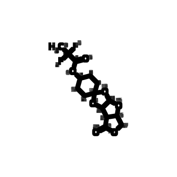 CC(F)(F)C(=O)OC1CCC2(CC1)OC1OC3COC(=O)C3C1O2